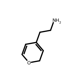 NCCC1=CCOC=C1